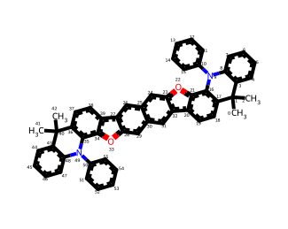 CC1(C)c2ccccc2N(c2ccccc2)c2c1ccc1c2oc2cc3cc4c(cc3cc21)oc1c2c(ccc14)C(C)(C)c1ccccc1N2c1ccccc1